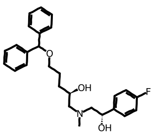 CN(C[C@H](O)CCCOC(c1ccccc1)c1ccccc1)C[C@@H](O)c1ccc(F)cc1